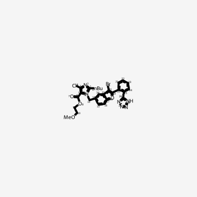 CCCCc1nc(Cl)c(C(=O)OCCOC)n1Cc1ccc2oc(-c3ccccc3-c3nnn[nH]3)c(Br)c2c1